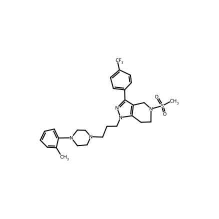 Cc1ccccc1N1CCN(CCCn2nc(-c3ccc(C(F)(F)F)cc3)c3c2CCN(S(C)(=O)=O)C3)CC1